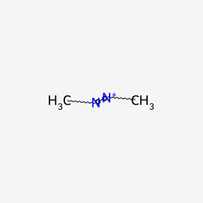 CCCCCCCCCCCCCC[n+]1ccc(-c2cc[n+](CCCCCCCCCCCCCC)cc2)cc1